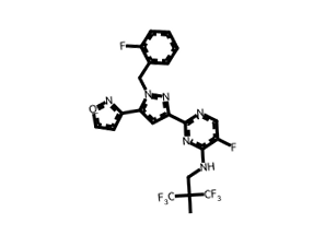 CC(CNc1nc(-c2cc(-c3ccon3)n(Cc3ccccc3F)n2)ncc1F)(C(F)(F)F)C(F)(F)F